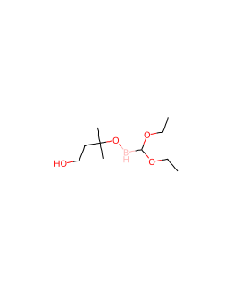 CCOC(BOC(C)(C)CCO)OCC